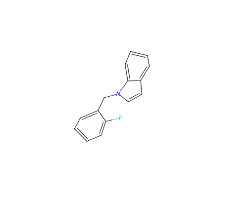 Fc1ccccc1Cn1ccc2ccccc21